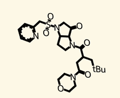 CC(C)(C)CC(CC(=O)N1CCOCC1)C(=O)N1CCC2C1C(=O)CN2S(=O)(=O)Cc1ccccn1